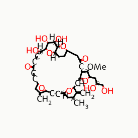 C=C1CC2CCC(=O)CC[C@H](O)C3O[C@H]4CCC(CC(=O)CC5[C@@H](OC)C(C[C@H](O)CO)O[C@H]5CC5O[C@@H](CCC1O2)C[C@@H](C)C5=C)O[C@@H]4[C@H](O)C3O